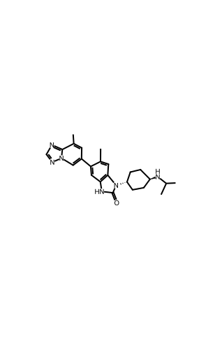 Cc1cc2c(cc1-c1cc(C)c3ncnn3c1)[nH]c(=O)n2[C@H]1CC[C@H](NC(C)C)CC1